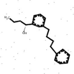 CCC[C@@H](O)c1cccc(CCCCc2ccccc2)c1